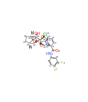 O=C(Nc1ccc(F)c(F)c1)c1ccc(Cl)c(S(=O)(=O)[C@@H]2C[C@H]3CC[C@@H](C2)[C@@]3(O)C(O)c2ccncc2)c1